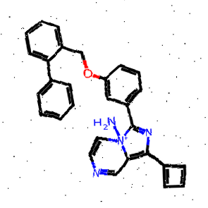 N[N+]12C=CN=CC1=C(C1=CC=C1)N=C2c1cccc(OCc2ccccc2-c2ccccc2)c1